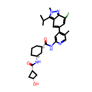 Cc1cnc(NC(=O)[C@H]2CCC[C@@H](NC(=O)[C@H]3C[C@@H](O)C3)C2)cc1-c1cc(F)c2nn(C)c(C(C)C)c2c1